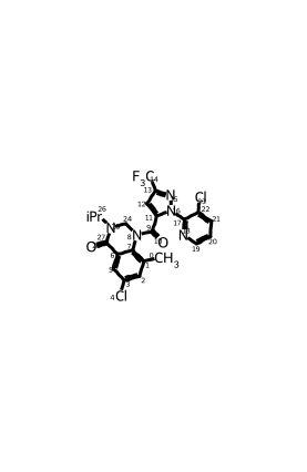 Cc1cc(Cl)cc2c1N(C(=O)c1cc(C(F)(F)F)nn1-c1ncccc1Cl)CN(C(C)C)C2=O